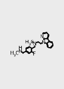 CNCc1ccc(CN(C)CCn2c3ccccc3c3cccnc32)c(F)c1